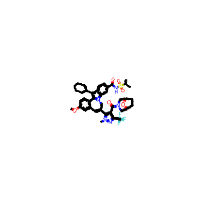 COc1ccc2c(c1)C=C(c1c(C(=O)N3CC4CCC(C3)O4)c(C(F)(F)F)nn1C)Cn1c-2c(C2CCCCC2)c2ccc(C(=O)NS(=O)(=O)C(C)C)cc21